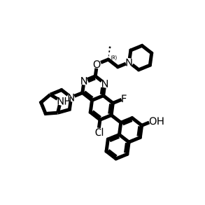 C[C@H](CN1CCCCC1)Oc1nc(N2CC3CCC(C2)N3)c2cc(Cl)c(-c3cc(O)cc4ccccc34)c(F)c2n1